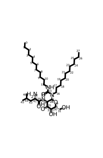 CCCCCCCCCCCCNC(=O)N(CCCCCCCCCCCC)[C@@H]1O[C@H](CO)[C@@H](O)[C@H](O)[C@H]1NC(=O)[C@@H](N)CC(C)C